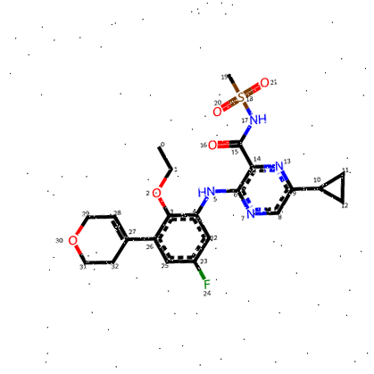 CCOc1c(Nc2ncc(C3CC3)nc2C(=O)NS(C)(=O)=O)cc(F)cc1C1=CCOCC1